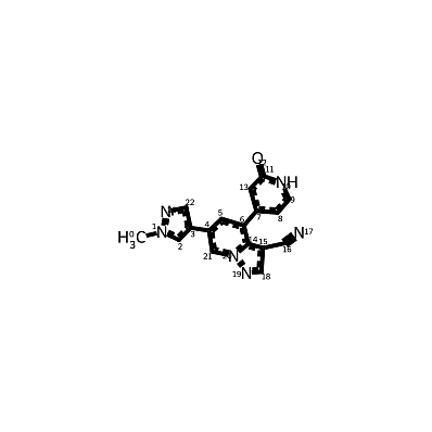 Cn1cc(-c2cc(-c3cc[nH]c(=O)c3)c3c(C#N)cnn3c2)cn1